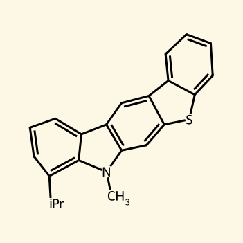 CC(C)c1cccc2c3cc4c(cc3n(C)c12)sc1ccccc14